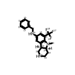 CN1c2c(cc(NCc3ccccc3)cc2C(F)(F)F)[C@@H]2CNCC[C@@H]21